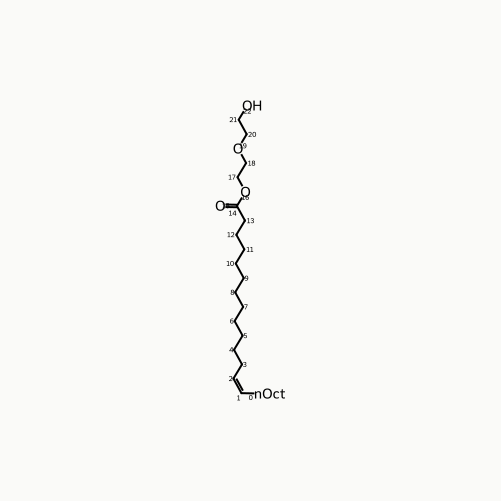 CCCCCCCC/C=C\CCCCCCCCCCCC(=O)OCCOCCO